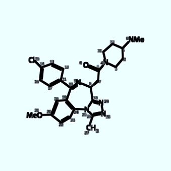 CNC1CCN(C(=O)C[C@@H]2N=C(c3ccc(Cl)cc3)c3cc(OC)ccc3-n3c(C)nnc32)CC1